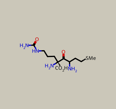 CSCCC(N)C(=O)[C@](N)(CCCNC(N)=O)C(=O)O